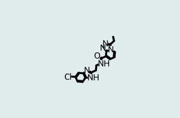 CCc1nnc2c(C(=O)NCCc3nc4cc(Cl)ccc4[nH]3)cccn12